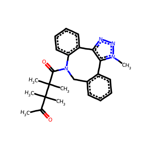 CC(=O)C(C)(C)C(C)(C)C(=O)N1Cc2ccccc2-c2c(nnn2C)-c2ccccc21